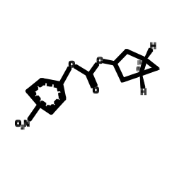 O=C(Oc1ccc([N+](=O)[O-])cc1)OC1C[C@@H]2C[C@@H]2C1